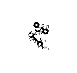 CC(Nc1ncnc(N)c1C#Cc1cnc(N)cc1C(F)(F)F)c1nc2cccc(Cl)c2c(=O)n1-c1ccccc1